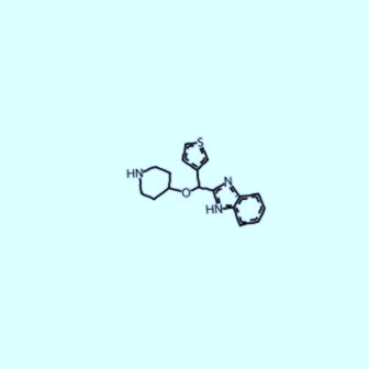 c1ccc2[nH]c(C(OC3CCNCC3)c3ccsc3)nc2c1